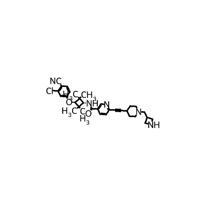 CC1(C)[C@H](NC(=O)c2ccc(C#CC3CCN(CC4CNC4)CC3)nc2)C(C)(C)[C@H]1Oc1ccc(C#N)c(Cl)c1